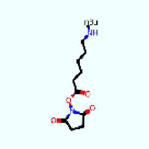 CCCCNCCCCCC(=O)ON1C(=O)CCC1=O